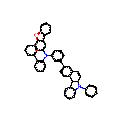 C1=CC2C(c3ccc(-c4cccc(N(c5ccc6oc7ccccc7c6c5)c5ccccc5-c5ccccc5)c4)cc31)c1ccccc1N2c1ccccc1